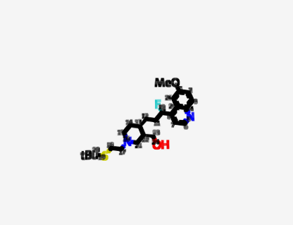 COc1ccc2nccc([C@H](F)CC[C@@H]3CCN(CCSC(C)(C)C)C[C@@H]3CO)c2c1